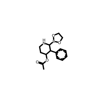 CC(=O)OC1CCNC(B2OCCO2)C1c1ccccc1